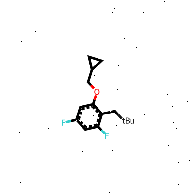 CC(C)(C)Cc1c(F)cc(F)cc1OCC1CC1